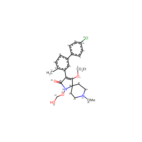 CCOC(=O)OC1=C(c2cc(-c3ccc(Cl)cc3)ccc2C)C(=O)N(OCO)C12CCN(OC)CC2